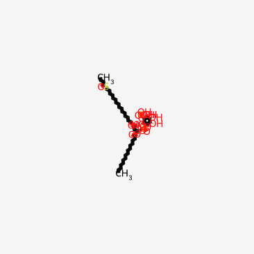 CCCCCCCCCCCCCCCC(=O)O[C@@H](COP(=O)(O)OC1C(O)[C@H](OP(=O)(O)O)C(O)[C@H](O)[C@@H]1O)CC(=O)OCCCCCCCCCCCCCCCCSC(=O)CCC